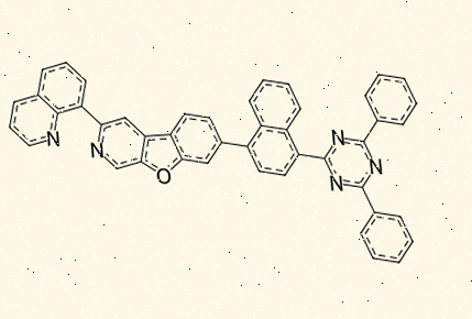 c1ccc(-c2nc(-c3ccccc3)nc(-c3ccc(-c4ccc5c(c4)oc4cnc(-c6cccc7cccnc67)cc45)c4ccccc34)n2)cc1